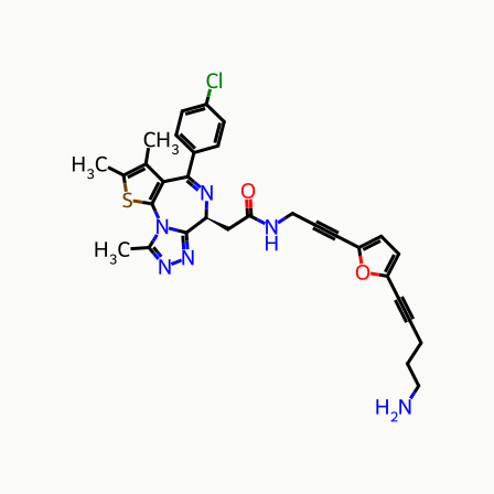 Cc1sc2c(c1C)C(c1ccc(Cl)cc1)=N[C@@H](CC(=O)NCC#Cc1ccc(C#CCCCN)o1)c1nnc(C)n1-2